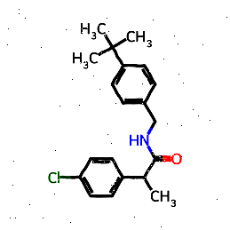 CC(C(=O)NCc1ccc(C(C)(C)C)cc1)c1ccc(Cl)cc1